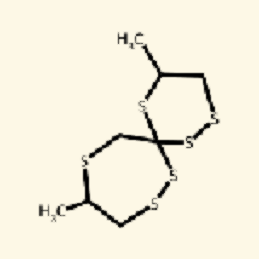 CC1CSSC2(CS1)SSCC(C)S2